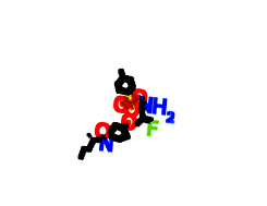 CCC[C@H](C)c1nc2ccc(OC/C(=C\F)C(N)OS(=O)(=O)c3ccc(C)cc3)cc2o1